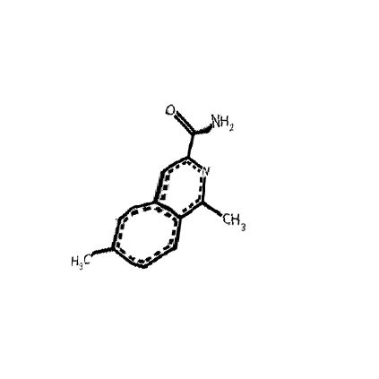 Cc1[c]c2cc(C(N)=O)nc(C)c2cc1